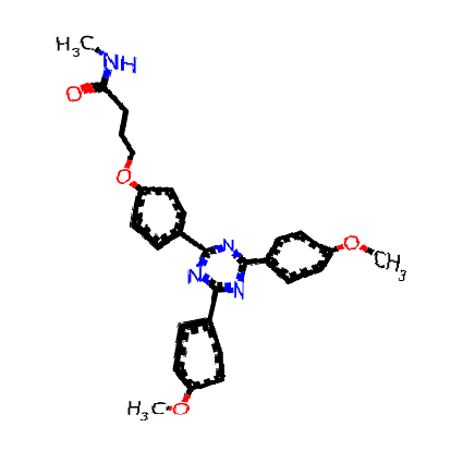 CNC(=O)CCCOc1ccc(-c2nc(-c3ccc(OC)cc3)nc(-c3ccc(OC)cc3)n2)cc1